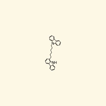 c1ccc2c(c1)[nH]c1c(CCCCCCn3c4ccccc4c4ccccc43)cccc12